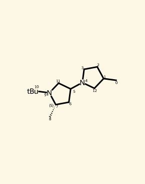 CC1CCN(C2C[C@H](C)N(C(C)(C)C)C2)C1